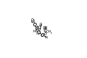 CC(Cn1cnnn1)Oc1cc(-c2cnc(Nc3cn(C4CCC(N5CCOCC5)CC4)nc3OCC3COC3)nc2)ccc1C#N